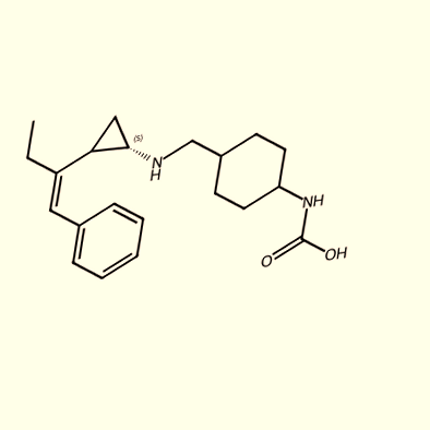 CCC(=Cc1ccccc1)C1C[C@@H]1NCC1CCC(NC(=O)O)CC1